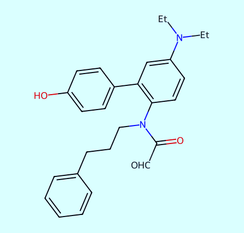 CCN(CC)c1ccc(N(CCCc2ccccc2)C(=O)C=O)c(-c2ccc(O)cc2)c1